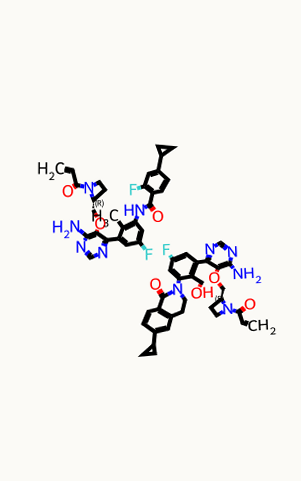 C=CC(=O)N1CC[C@@H]1COc1c(N)ncnc1-c1cc(F)cc(NC(=O)c2ccc(C3CC3)cc2F)c1C.C=CC(=O)N1CC[C@H]1COc1c(N)ncnc1-c1cc(F)cc(N2CCc3cc(C4CC4)ccc3C2=O)c1CO